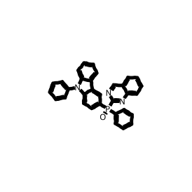 O=P(c1ccccc1)(c1ccc2c(c1)c1ccccc1n2-c1ccccc1)c1ncc2ccccc2n1